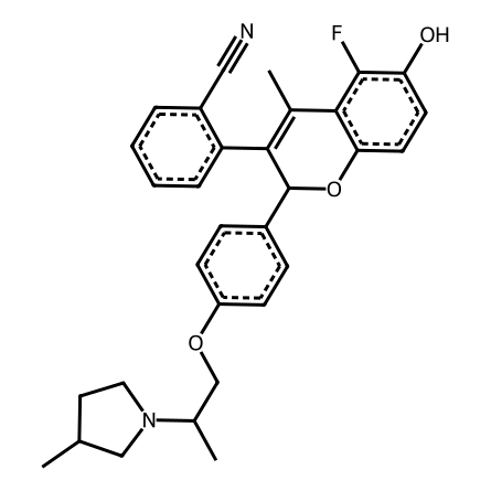 CC1=C(c2ccccc2C#N)C(c2ccc(OCC(C)N3CCC(C)C3)cc2)Oc2ccc(O)c(F)c21